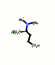 CC(C)(C)N([C@@H](CCC(=O)O)C(=O)O)C(C)(C)C.Cl